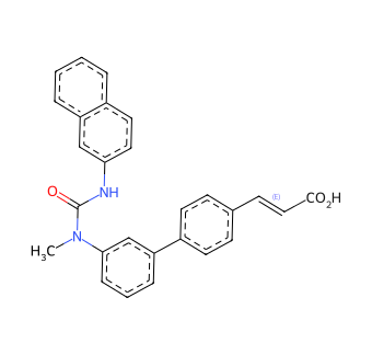 CN(C(=O)Nc1ccc2ccccc2c1)c1cccc(-c2ccc(/C=C/C(=O)O)cc2)c1